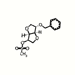 CS(=O)(=O)O[C@@H]1CO[C@H]2[C@@H]1OC[C@@H]2OCc1ccccc1